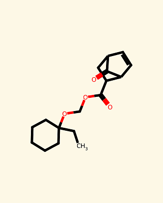 CCC1(OCOC(=O)C2CC3C=CC2C3=O)CCCCC1